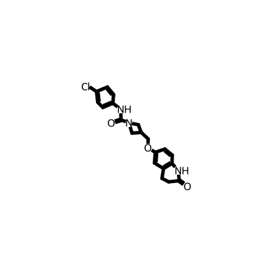 O=C1CCc2cc(OCC3CN(C(=O)Nc4ccc(Cl)cc4)C3)ccc2N1